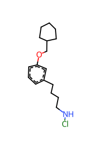 ClNCCCCc1cccc(OCC2CCCCC2)c1